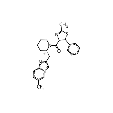 CC1=NC(C(=O)N2CCCC[C@H]2Cc2cn3cc(C(F)(F)F)ccc3n2)C(c2ccccc2)S1